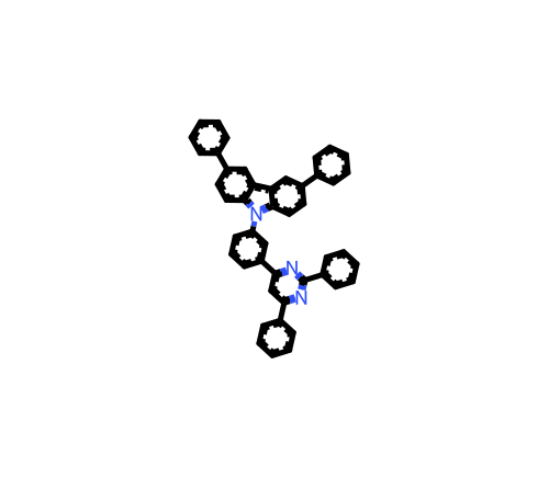 c1ccc(-c2ccc3c(c2)c2cc(-c4ccccc4)ccc2n3-c2cccc(-c3cc(-c4ccccc4)nc(-c4ccccc4)n3)c2)cc1